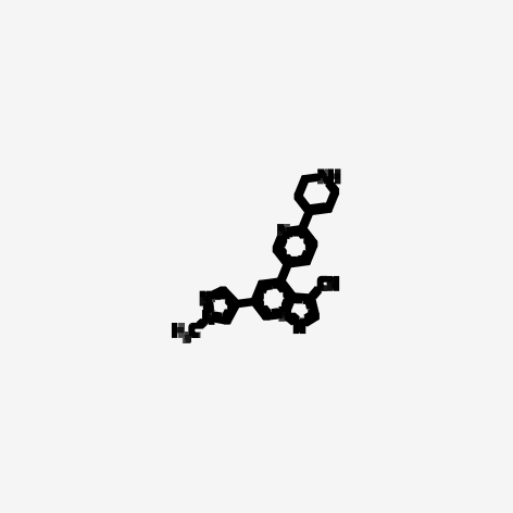 Cn1cc(-c2cc(-c3ccc(C4=CCNCC4)nc3)c3c(C#N)cnn3c2)cn1